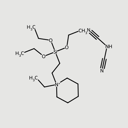 CCO[Si](CC[N+]1(CC)CCCCC1)(OCC)OCC.N#CNC#N